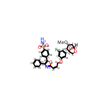 CO[C@@H]1C[C@@H]2OC[C@@](c3cc(F)cc(OC/C=C\c4nc(-c5ccccc5)c(-c5ccc(S(N)(=O)=O)cc5)o4)c3)(C1)O2